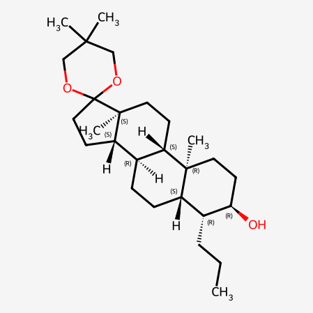 CCC[C@H]1[C@H](O)CC[C@]2(C)[C@H]3CC[C@@]4(C)[C@@H](CCC45OCC(C)(C)CO5)[C@@H]3CC[C@@H]12